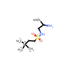 CCCCCCC(N)CNS(=O)(=O)CC[Si](C)(C)C